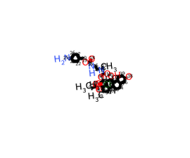 CCC(=O)O[C@]1(C(=O)COC(=O)N(C)CCNC(=O)OCc2ccc(N)cc2)[C@@H](C)CC2[C@@H]3CCC4=CC(=O)C=C[C@]4(C)[C@@]3(Cl)[C@@H](O)C[C@@]21C